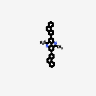 Cc1nc2cc(-c3ccc4c(ccc5ccccc54)c3)cc3c(C)nc4cc(-c5ccc6c(ccc7ccccc76)c5)cc1c4c23